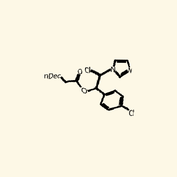 CCCCCCCCCCCC(=O)OC(c1ccc(Cl)cc1)C(Cl)n1ccnc1